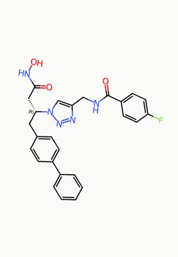 O=C(C[C@@H](Cc1ccc(-c2ccccc2)cc1)n1cc(CNC(=O)c2ccc(F)cc2)nn1)NO